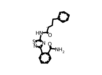 NC(=O)c1ccccc1-c1nsc(NC(=O)[CH]CCc2ccccc2)n1